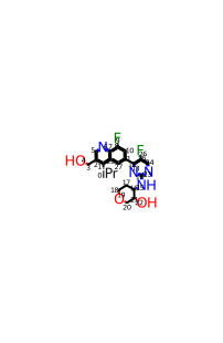 CC(C)c1c(CO)cnc2c(F)cc(-c3nc(N[C@@H]4CCOC[C@@H]4O)ncc3F)cc12